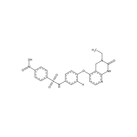 CCN1Cc2c(Oc3ccc(NS(=O)(=O)c4ccc([N+](=O)O)cc4)cc3F)ccnc2NC1=O